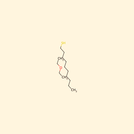 CCCCCCCCCCS.CCOCC